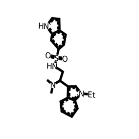 CCn1cc(C(CNS(=O)(=O)c2ccc3cc[nH]c3c2)N(C)C)c2ccccc21